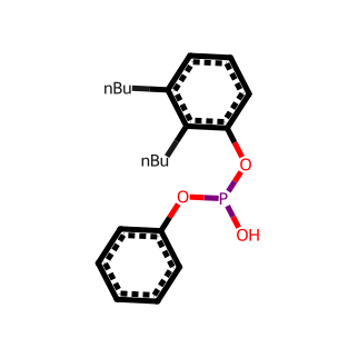 CCCCc1cccc(OP(O)Oc2ccccc2)c1CCCC